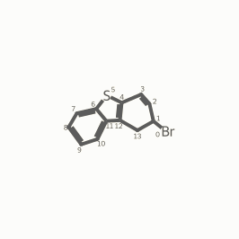 BrC1C=Cc2sc3ccccc3c2C1